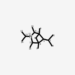 CC(C)C1C2(C)CC1(C)C(C)N(C(C)C)C2C